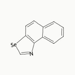 c1ccc2c(c1)ccc1[se]cnc12